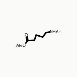 COC(=O)CCCCNC(C)=O